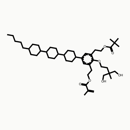 C=C(C)C(=O)OCCc1cc(C2CCC(C3CCC(C4CCC(CCCCC)CC4)CC3)CC2)cc(CCOC(=O)C(C)(C)C)c1OCCC(C)(CO)CO